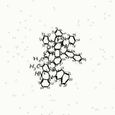 Cc1cc2c3c4c1Nc1ccccc1N4c1cc4ccccc4cc1B3c1ccc3c4c1N2c1c(C)sc(C)c1N4c1cc(N(c2ccccc2)c2ccccc2)c2c4c1B3c1cc3ccccc3cc1N4c1ccccc1N2